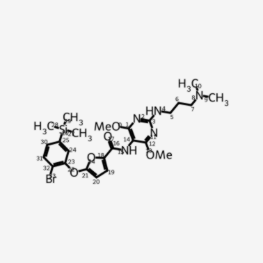 COc1nc(NCCCN(C)C)nc(OC)c1NC(=O)c1ccc(Oc2cc([Si](C)(C)C)ccc2Br)o1